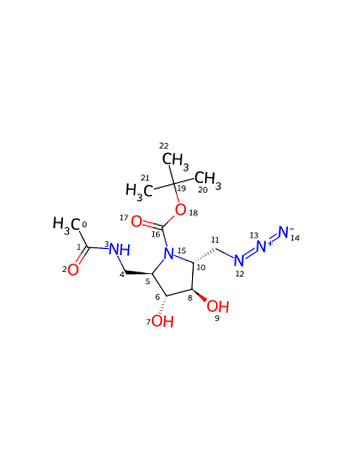 CC(=O)NC[C@@H]1[C@@H](O)[C@H](O)[C@@H](CN=[N+]=[N-])N1C(=O)OC(C)(C)C